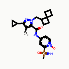 CS(=N)(=O)c1cc(NC(=O)c2c(C(F)(F)F)c(C3CC3)nn2CC2CCC23CCC3)cc[n+]1[O-]